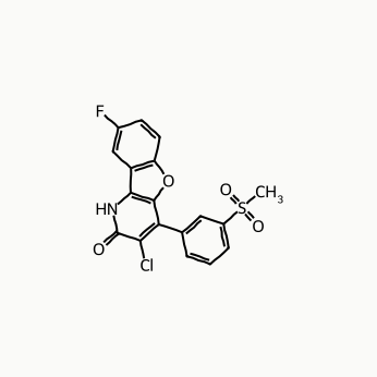 CS(=O)(=O)c1cccc(-c2c(Cl)c(=O)[nH]c3c2oc2ccc(F)cc23)c1